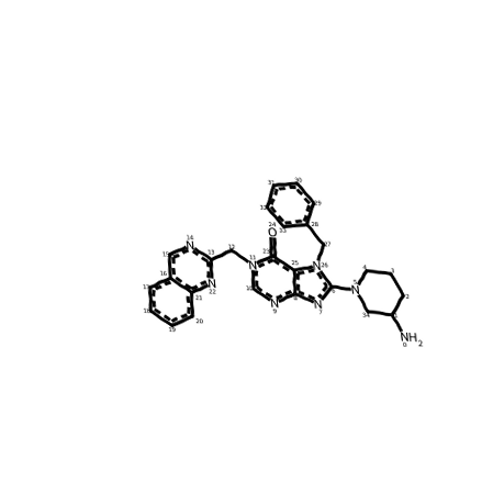 NC1CCCN(c2nc3ncn(Cc4ncc5ccccc5n4)c(=O)c3n2Cc2ccccc2)C1